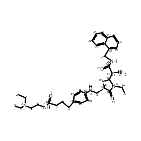 CCN(CC)CCNC(=O)CCCc1ccc(NC[C@H]2SC([C@H](N)C(=O)NCc3cccc4ccccc34)N(CC)C2=O)cc1